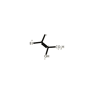 CC/C(C)=C(\O)C(=O)O